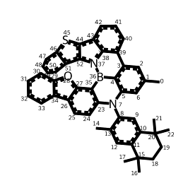 Cc1cc2c3c(c1)N(c1cc4c(cc1C)C(C)(C)CCC4(C)C)c1ccc4c(oc5ccccc54)c1B3n1c3c-2cccc3c2sc3ccccc3c21